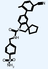 Cc1ccc(C#N)cc1-c1ccc2c(c1)C1(CCCC1)CN2C(=O)NCc1ccc(S(N)(=O)=O)cc1